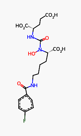 O=C(O)CC[C@H](NC(=O)N(O)[C@@H](CCCCNC(=O)c1ccc(F)cc1)C(=O)O)C(=O)O